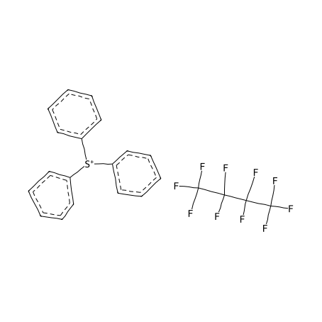 FC(F)(F)C(F)(F)C(F)(F)C(F)(F)F.c1ccc([S+](c2ccccc2)c2ccccc2)cc1